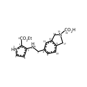 CCOC(=O)c1[nH]ccc1NCc1ccc2c(c1)CN(C(=O)O)C2